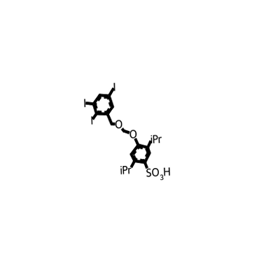 CC(C)c1cc(S(=O)(=O)O)c(C(C)C)cc1OCOCc1cc(I)cc(I)c1I